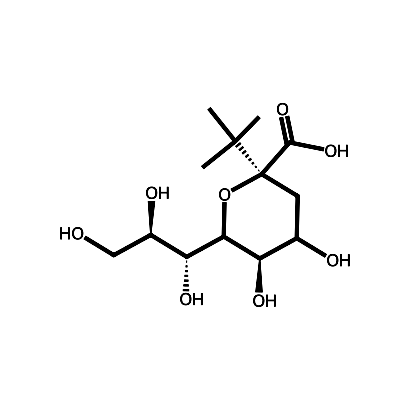 CC(C)(C)[C@]1(C(=O)O)CC(O)[C@@H](O)C([C@H](O)[C@H](O)CO)O1